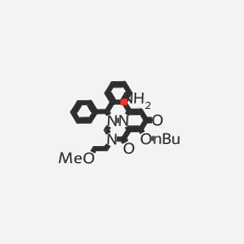 CCCCOc1c2n(c(CN)cc1=O)N(C(c1ccccc1)c1ccccc1)CN(CCOC)C2=O